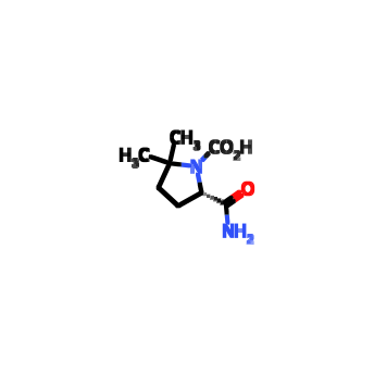 CC1(C)CC[C@@H](C(N)=O)N1C(=O)O